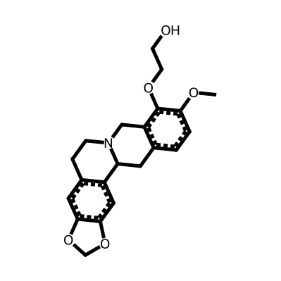 COc1ccc2c(c1OCCO)CN1CCc3cc4c(cc3C1C2)OCO4